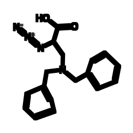 [N-]=[N+]=NC(CN(Cc1ccccc1)Cc1ccccc1)C(=O)O